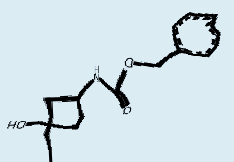 CC1(O)CC(NC(=O)OCc2ccccc2)C1